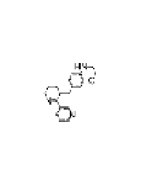 C(=C1CCCN=C1c1cccnc1)c1ccc2c(c1)OCCN2